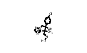 CC(C)(C=NO)C(O)(Cn1cncn1)c1ccc(Cl)cc1